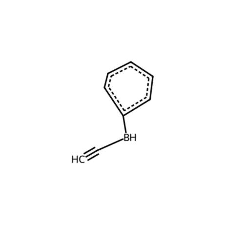 C#CBc1ccccc1